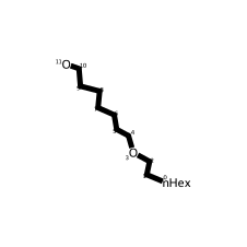 CCCCCCCCOCCCCCCC[O]